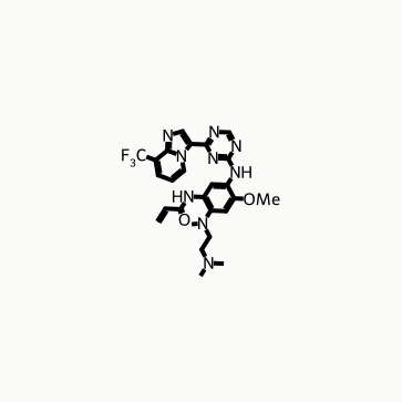 C=CC(=O)Nc1cc(Nc2ncnc(-c3cnc4c(C(F)(F)F)cccn34)n2)c(OC)cc1N(C)CCN(C)C